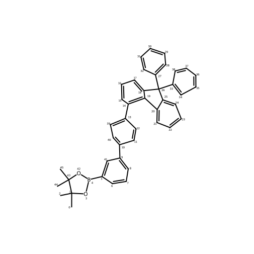 CC1(C)OB(c2cccc(-c3ccc(-c4cccc5c4-c4ccccc4C5(c4ccccc4)c4ccccc4)cc3)c2)OC1(C)C